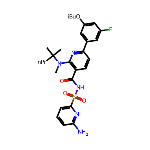 CCCC(C)(C)N(C)c1nc(-c2cc(F)cc(OCC(C)C)c2)ccc1C(=O)NS(=O)(=O)c1cccc(N)n1